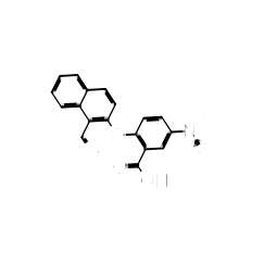 O=Cc1c(Oc2ccc([N+](=O)[O-])cc2C(=O)O)ccc2ccccc12